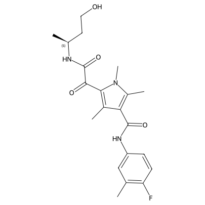 Cc1cc(NC(=O)c2c(C)c(C(=O)C(=O)N[C@@H](C)CCO)n(C)c2C)ccc1F